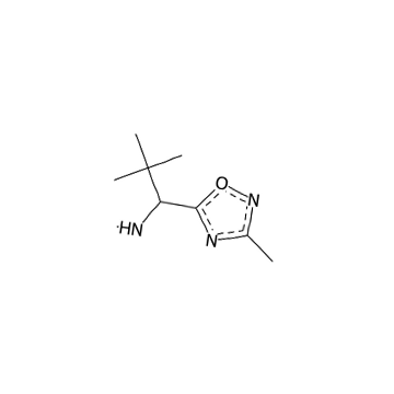 Cc1noc(C([NH])C(C)(C)C)n1